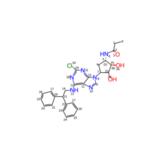 CCC(=O)N[C@H]1CC(n2cnc3c(NCC(c4ccccc4)c4ccccc4)nc(Cl)nc32)C(O)[C@@H]1O